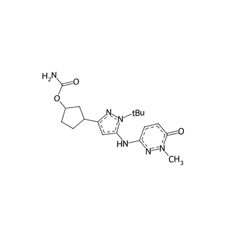 Cn1nc(Nc2cc(C3CCC(OC(N)=O)C3)nn2C(C)(C)C)ccc1=O